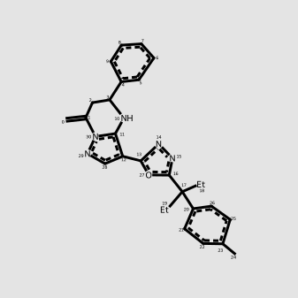 C=C1CC(c2ccccc2)Nc2c(-c3nnc(C(CC)(CC)c4ccc(C)cc4)o3)cnn21